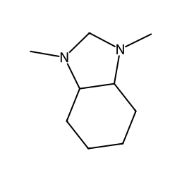 CN1CN(C)C2CCCCC21